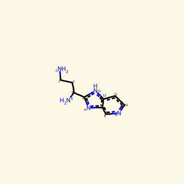 NCCC(N)c1nc2cnccc2[nH]1